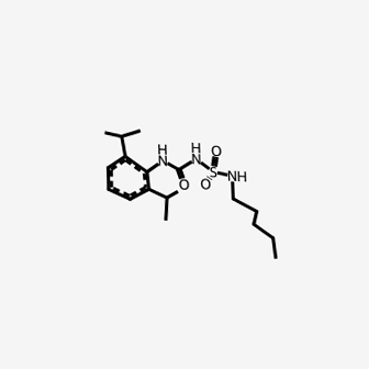 CCCCCNS(=O)(=O)NC(=O)Nc1c(C(C)C)cccc1C(C)C